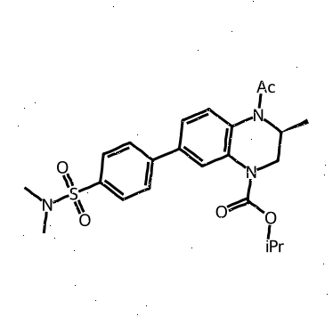 CC(=O)N1c2ccc(-c3ccc(S(=O)(=O)N(C)C)cc3)cc2N(C(=O)OC(C)C)C[C@@H]1C